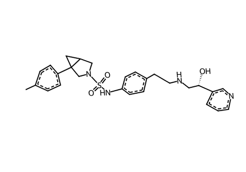 Cc1ccc(C23CC2CN(S(=O)(=O)Nc2ccc(CCNC[C@H](O)c4cccnc4)cc2)C3)cc1